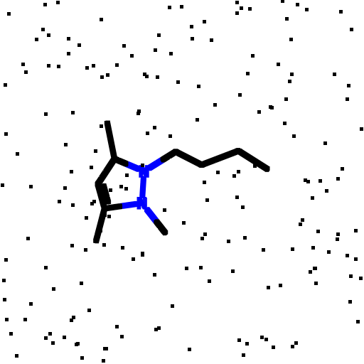 CCCCN1C(C)C=C(C)N1C